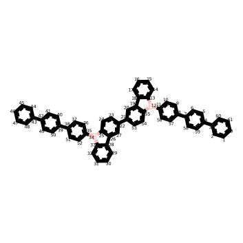 c1ccc(-c2ccc(-c3ccc(B4c5ccccc5-c5cc(-c6ccc7c(c6)-c6ccccc6B7c6ccc(-c7ccc(-c8ccccc8)cc7)cc6)ccc54)cc3)cc2)cc1